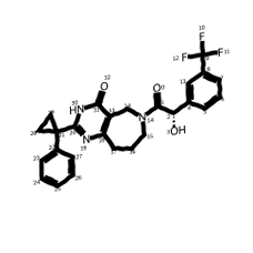 O=C([C@@H](O)c1cccc(C(F)(F)F)c1)N1CCCc2nc(C3(c4ccccc4)CC3)[nH]c(=O)c2C1